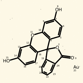 O=C1OC2(c3ccc(O)cc3Oc3cc(O)ccc32)c2ccccc21.[Au]